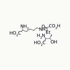 CCC(=O)C(=O)O.C[C@@H](O)[C@H](N)C(=O)O.NCCCC[C@H](N)C(=O)O